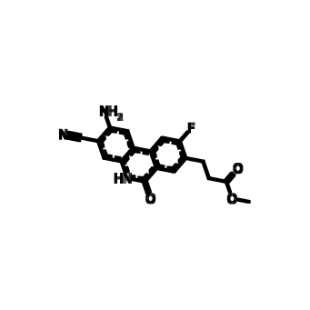 COC(=O)CCc1cc2c(=O)[nH]c3cc(C#N)c(N)cc3c2cc1F